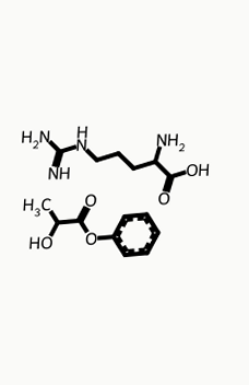 CC(O)C(=O)Oc1ccccc1.N=C(N)NCCCC(N)C(=O)O